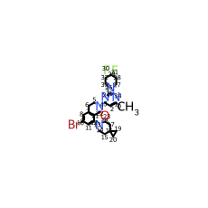 Cc1cc(N2CCc3cc(Br)cc(N4CCC5(CC4)CC5)c3C2=O)nc(N2CCC(F)(F)CC2)n1